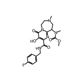 COC(=O)N(C)C1CN(C)CCn2c1nc(C(=O)NCc1ccc(F)cc1)c(O)c2=O